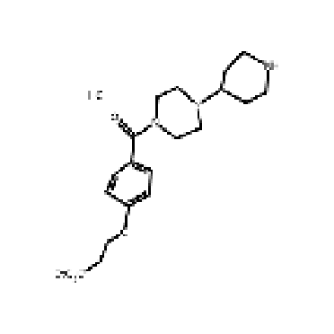 CCOC(=O)CCOc1ccc(C(=O)N2CCN(C3CCNCC3)CC2)cc1.Cl